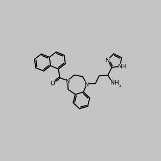 NC(CCN1CCN(C(=O)c2cccc3ccccc23)Cc2ccccc21)c1ncc[nH]1